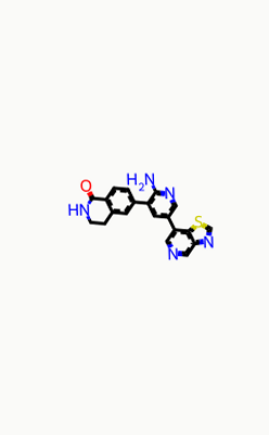 Nc1ncc(-c2cncc3ncsc23)cc1-c1ccc2c(c1)CCNC2=O